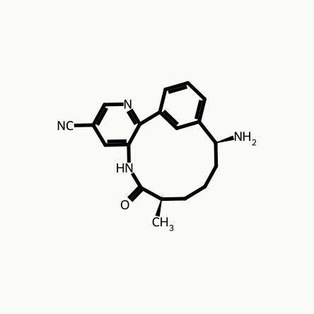 C[C@@H]1CCC[C@H](N)c2cccc(c2)-c2ncc(C#N)cc2NC1=O